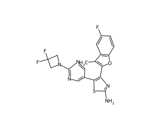 Cc1c(-c2nc(N)sc2-c2cnc(N3CC(F)(F)C3)nc2)oc2ccc(F)cc12